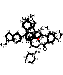 COCCc1c(C(=O)N(c2ccc(O)cc2)c2cnc3c(c2)CCN3C)cc(-c2cc3c(cc2C(=O)N2Cc4ccccc4C[C@H]2CN2CCOCC2)OCO3)n1C